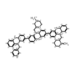 CN1CCOC(CN2c3cc(C4=CC5C(C=C4)Sc4ccccc4N5Cc4cccnc4)ccc3SC3C=C(c4ccc5c(c4)SC4C=CC=CC4N5CC4CCCCN4C)C=CC32)C1